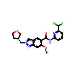 CC(C)Oc1cc2nn(C[C@H]3CCOC3)cc2cc1C(=O)Nc1cccc(C(F)F)n1